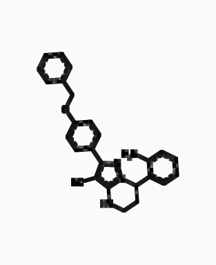 N#Cc1c(-c2ccc(OCc3ccccc3)cc2)nn2c1NCCC2c1ccccc1N